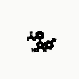 OC1CC(c2ccccc2OC(F)F)c2c1nc1ccc(Br)cn21